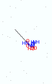 CCCCCCCCCCCCCCCC(=O)NCC(=O)N[C@@H](C)C(=O)N[C@@H](Cc1c[nH]cn1)C(=O)O